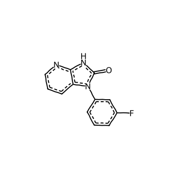 O=c1[nH]c2ncccc2n1-c1cccc(F)c1